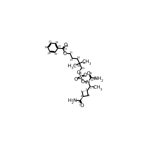 C[C@@H]([C@H]1C[C@H](C(N)=O)C1)N(OS(=O)(=O)OCC(C)(C)CCCOC(=O)c1ccccc1)C(N)=O